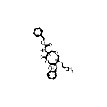 CCC[C@H]1COC[C@H](NC(=O)OCc2ccccc2)C(=O)O[C@@H](C)[C@@H]1Cc1ccccc1